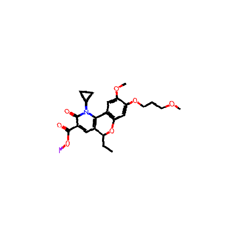 CCC1Oc2cc(OCCCOC)c(OC)cc2-c2c1cc(C(=O)OI)c(=O)n2C1CC1